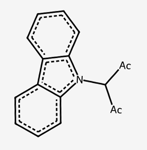 CC(=O)C(C(C)=O)n1c2ccccc2c2ccccc21